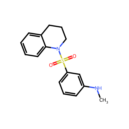 CNc1cccc(S(=O)(=O)N2CCCc3ccccc32)c1